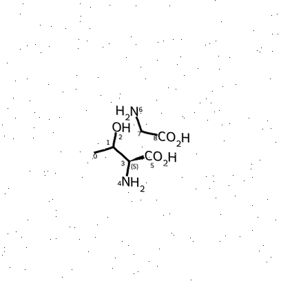 CC(O)[C@H](N)C(=O)O.NCC(=O)O